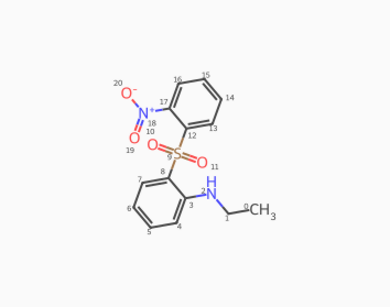 CCNc1ccccc1S(=O)(=O)c1ccccc1[N+](=O)[O-]